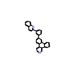 c1cc(-c2ccc3c4ccncc4c4ccccc4c3c2)cc(-c2ccc3ccccc3n2)c1